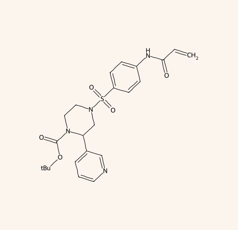 C=CC(=O)Nc1ccc(S(=O)(=O)N2CCN(C(=O)OC(C)(C)C)C(c3cccnc3)C2)cc1